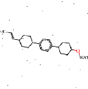 CCCCCCCCOC1CCC(c2ccc(C3CCC(C=CC(F)(F)F)CC3)cc2)CC1